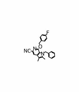 Cc1c(C)n(Cc2ccccc2)c2c(OCc3ccc(F)cc3)nc(C#N)cc12